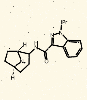 CC(C)n1nc(C(=O)NC2CC[C@H]3CC[C@@H]2N3C)c2ccccc21